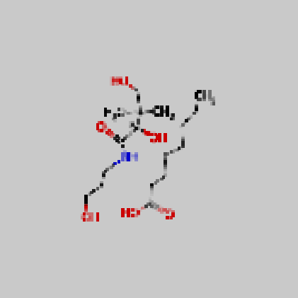 CC(C)(CO)[C@@H](O)C(=O)NCCCO.CCCCCCCC(=O)O